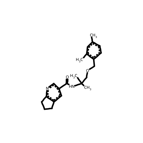 Cc1ccc(COCC(C)(C)NC(=O)c2cnc3c(c2)CCC3)c(C)c1